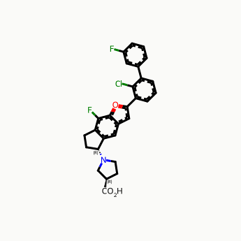 O=C(O)[C@@H]1CCN([C@@H]2CCc3c2cc2cc(-c4cccc(-c5cccc(F)c5)c4Cl)oc2c3F)C1